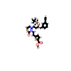 C#Cc1cccc(C[C@@H](CCN2C=CSC(=O)N2CCc2ccc(C(=O)OC)s2)O[Si](C)(C)C(C)(C)C)c1